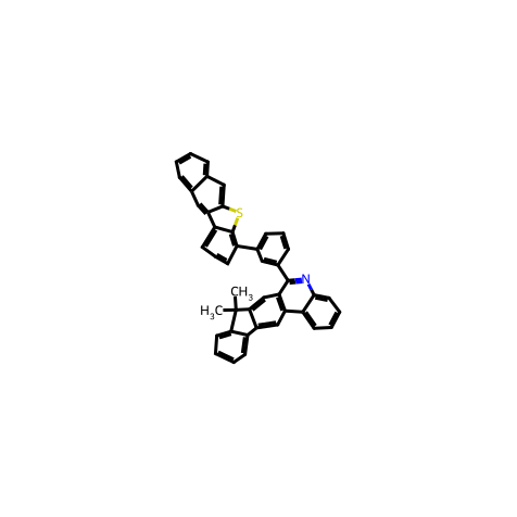 CC1(C)c2ccccc2-c2cc3c(cc21)c(-c1cccc(-c2cccc4c2sc2cc5ccccc5cc24)c1)nc1ccccc13